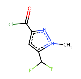 Cn1nc(C(=O)Cl)cc1C(F)F